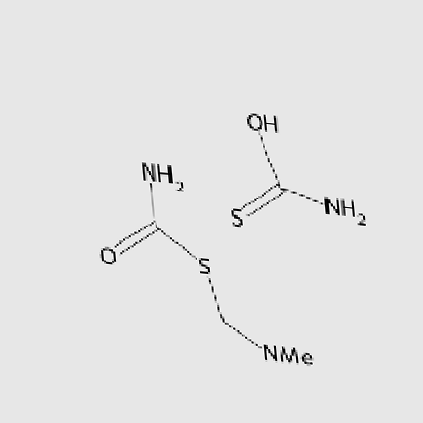 CNCSC(N)=O.NC(O)=S